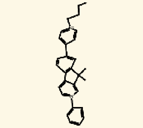 CCCC[n+]1ccc(-c2ccc3c(c2)C(C)(C)c2c[n+](-c4ccccc4)ccc2-3)cc1